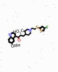 COc1ccc2nccc(C(=O)CCC3CCN(CCSc4cc(F)cs4)CC3C(=O)O)c2c1